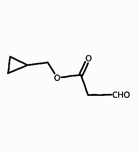 O=CCC(=O)OCC1CC1